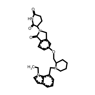 CCn1ccc2cccc(CN3CCCCC3COc3ccc4c(c3)CN(C3CCC(=O)NC3=O)C4=O)c21